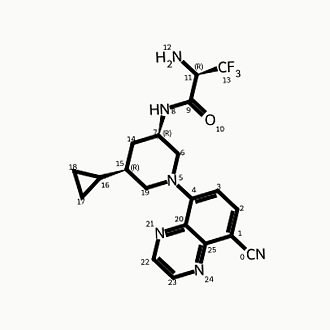 N#Cc1ccc(N2C[C@H](NC(=O)[C@@H](N)C(F)(F)F)C[C@H](C3CC3)C2)c2nccnc12